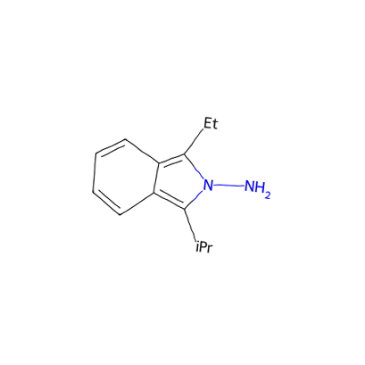 CCc1c2ccccc2c(C(C)C)n1N